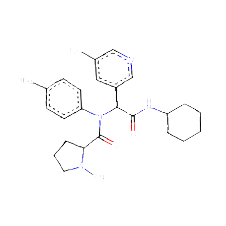 CC(C)(C)c1ccc(N(C(=O)C2CCCN2C#N)C(C(=O)NC2CCCCC2)c2cncc(C(F)(F)F)c2)cc1